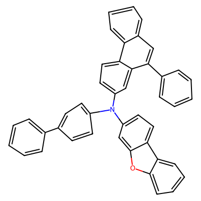 c1ccc(-c2ccc(N(c3ccc4c(c3)oc3ccccc34)c3ccc4c(c3)c(-c3ccccc3)cc3ccccc34)cc2)cc1